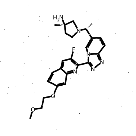 COCCOc1ccc2cc(F)c(-c3nnc4ccc([C@@H](C)N5CC[C@](C)(N)C5)cn34)nc2c1